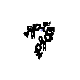 Cc1ccc(NC(=O)c2ccnc(C(C)(C)F)c2)cc1C(=N)/C=C(\C=N)c1ccnc(NC(=O)C2CC2)c1